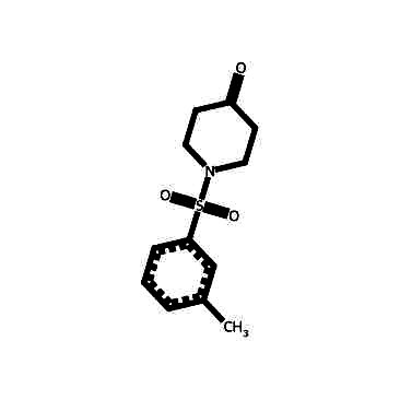 Cc1cccc(S(=O)(=O)N2CCC(=O)CC2)c1